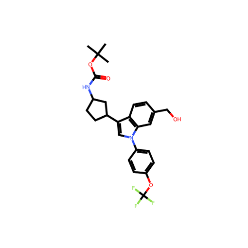 CC(C)(C)OC(=O)NC1CCC(c2cn(-c3ccc(OC(F)(F)F)cc3)c3cc(CO)ccc23)C1